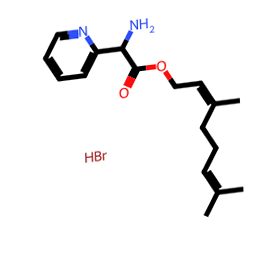 Br.CC(C)=CCCC(C)=CCOC(=O)C(N)c1ccccn1